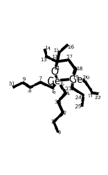 CCCC[CH2][Ge]1([CH2]CCCC)[O]C(CC)(CC)C[CH2][Ge]1([CH2]CC)[CH2]CC